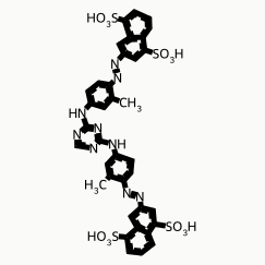 Cc1cc(Nc2ncnc(Nc3ccc(N=Nc4cc(S(=O)(=O)O)c5cccc(S(=O)(=O)O)c5c4)c(C)c3)n2)ccc1N=Nc1cc(S(=O)(=O)O)c2cccc(S(=O)(=O)O)c2c1